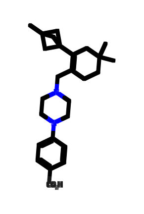 CC1(C)CCC(CN2CCN(c3ccc(C(=O)O)cc3)CC2)=C(C23CC(C)(C2)C3)C1